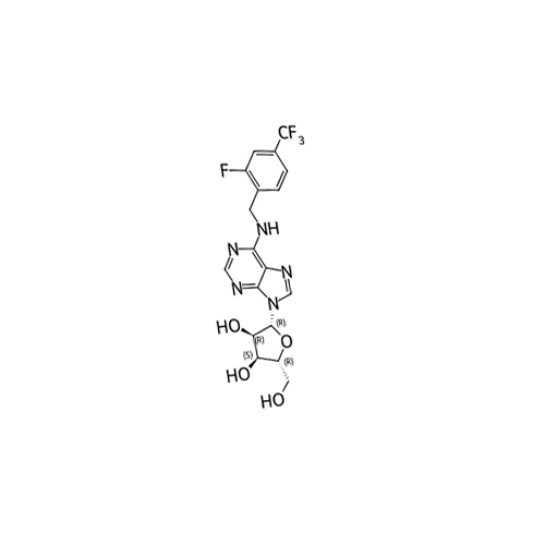 OC[C@H]1O[C@@H](n2cnc3c(NCc4ccc(C(F)(F)F)cc4F)ncnc32)[C@H](O)[C@@H]1O